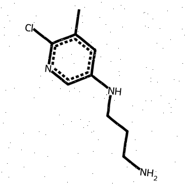 Cc1cc(NCCCN)cnc1Cl